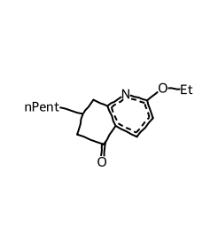 CCCCCC1CC(=O)c2ccc(OCC)nc2C1